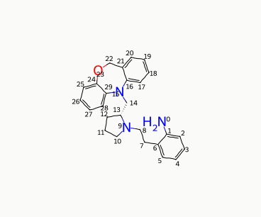 Nc1ccccc1CCN1CCC[C@@H]1CN1c2ccccc2COc2ccccc21